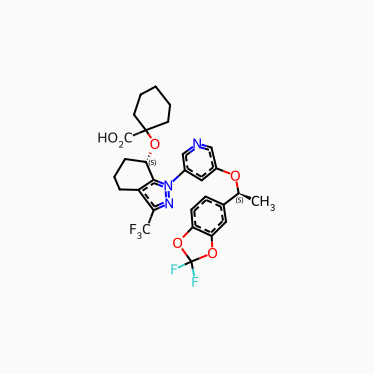 C[C@H](Oc1cncc(-n2nc(C(F)(F)F)c3c2[C@@H](OC2(C(=O)O)CCCCC2)CCC3)c1)c1ccc2c(c1)OC(F)(F)O2